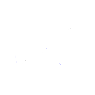 CCOc1c(CC(N)=O)cc([C@@](O)(CNC(=O)c2cc(C(F)(F)F)c3[nH]ncc3c2)C(F)(F)F)nc1-c1ccc(F)cc1